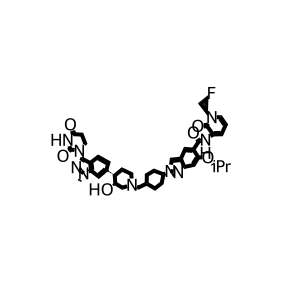 CC(C)Oc1cc2nn(C3CCC(CN4CC[C@@H](c5ccc6c(N7CCC(=O)NC7=O)nn(C)c6c5)[C@H](O)C4)CC3)cc2cc1C(=O)Nc1cccn([C@H]2C[C@H]2F)c1=O